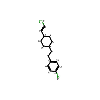 Cl/C=C/C1CCC(CCc2ccc(Br)cc2)CC1